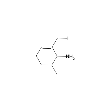 CC1CCC=C(CI)C1N